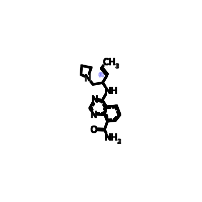 C/C=C/C(CN1CCC1)Nc1ncnc2c(C(N)=O)cccc12